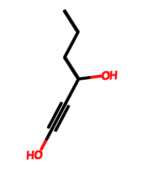 CCCC(O)C#CO